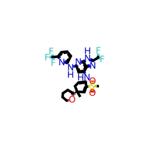 CC1([C@@H]2CCCCO2)C=C(S(C)(=O)=O)C(Nc2cc(Nc3cccc(C(F)(F)F)n3)nc3[nH]c(C(F)F)nc23)=CC1